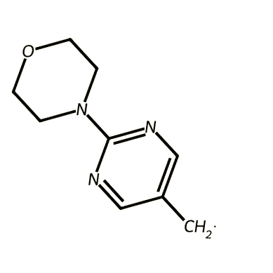 [CH2]c1cnc(N2CCOCC2)nc1